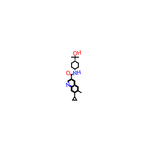 Cc1cc2cc(C(=O)N[C@H]3CC[C@H](C(C)(C)O)CC3)cnc2cc1C1CC1